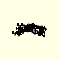 C/C=C/[C@H]1O[C@@](O)([C@@H](C)[C@H](O)[C@H](C)[C@H]2OC(=O)/C(OC)=C/C(C)=C/[C@@H](C)[C@@H](O)[C@@H](CC)[C@@H](O)[C@H](C)C/C(C)=C/C=C/[C@@H]2OC)C[C@@H](O[C@H]2C[C@@H](O)[C@H](OC(N)=O)[C@@H](C)O2)[C@@H]1C